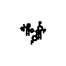 CC(C(=O)N[C@H]1C[C@H](c2c(-c3ccc(F)cc3)[nH]c3c(F)cc(F)cc32)C1)N(C)C